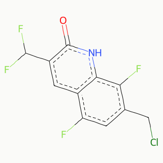 O=c1[nH]c2c(F)c(CCl)cc(F)c2cc1C(F)F